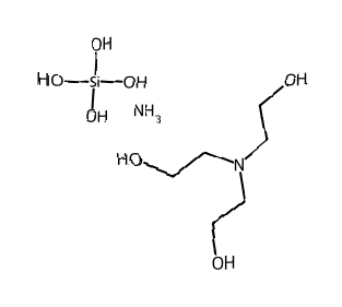 N.OCCN(CCO)CCO.O[Si](O)(O)O